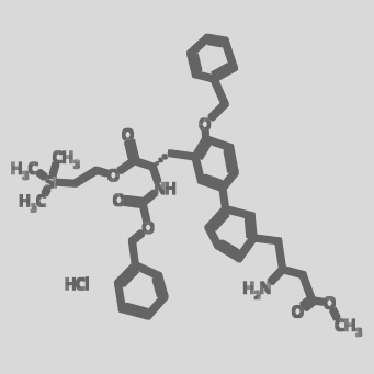 COC(=O)CC(N)Cc1cccc(-c2ccc(OCc3ccccc3)c(C[C@H](NC(=O)OCc3ccccc3)C(=O)OCC[Si](C)(C)C)c2)c1.Cl